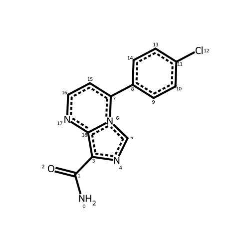 NC(=O)c1ncn2c(-c3ccc(Cl)cc3)ccnc12